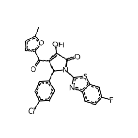 Cc1ccc(C(=O)C2=C(O)C(=O)N(c3nc4ccc(F)cc4s3)C2c2ccc(Cl)cc2)o1